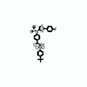 CC(C)(C)c1ccc(S(=O)(=O)NC(=O)c2ccc(N(c3csc(-c4ccc(F)cc4)n3)[SH](=O)=O)cc2)cc1